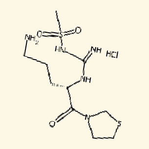 CS(=O)(=O)NC(=N)N[C@@H](CCCN)C(=O)N1CCSC1.Cl